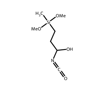 CO[Si](C)(CCC(O)N=C=O)OC